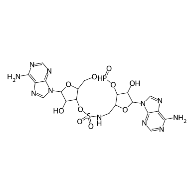 Nc1ncnc2c1ncn2C1OC2CNS(=O)(=O)OC3C(CO[PH](=O)OC2C1O)OC(n1cnc2c(N)ncnc21)C3O